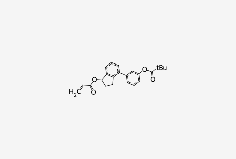 C=CC(=O)OC1CCc2c(-c3cccc(OC(=O)C(C)(C)C)c3)cccc21